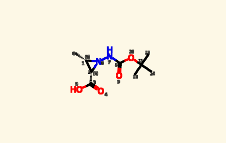 C[C@H]1[C@@H](C(=O)O)N1NC(=O)OC(C)(C)C